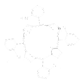 Nc1ccccc1-c1c2nc(c(-c3ccccc3N)c3ccc([n-]3)c(-c3ccccc3N)c3ccc([n-]3)c(-c3ccccc3N)c3nc1C=C3)C=C2.[Co+2]